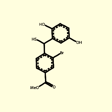 COC(=O)c1ccc(C(S)c2cc(O)ccc2O)c(Br)c1